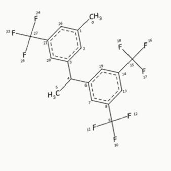 Cc1cc(C(C)c2cc(C(F)(F)F)cc(C(F)(F)F)c2)cc(C(F)(F)F)c1